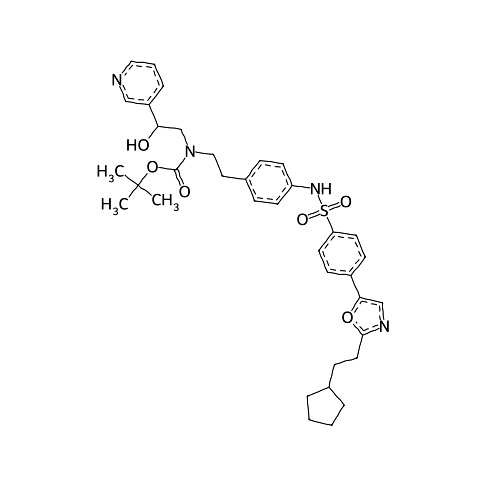 CC(C)(C)OC(=O)N(CCc1ccc(NS(=O)(=O)c2ccc(-c3cnc(CCC4CCCC4)o3)cc2)cc1)CC(O)c1cccnc1